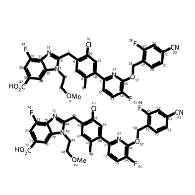 COCCn1c(Cc2cc(C)c(-c3ccc(F)c(OCc4ccc(C#N)cc4F)n3)cc2Cl)nc2c(F)cc(C(=O)O)cc21.COCCn1c(Cc2cc(C)c(-c3ccc(F)c(OCc4ccc(C#N)cc4F)n3)cc2Cl)nc2c(F)cc(C(=O)O)cc21